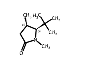 C[C@@H]1CC(=O)N(C)[C@@H]1C(C)(C)C